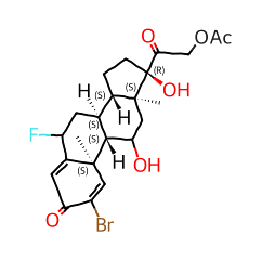 CC(=O)OCC(=O)[C@@]1(O)CC[C@H]2[C@@H]3CC(F)C4=CC(=O)C(Br)=C[C@]4(C)[C@H]3C(O)C[C@@]21C